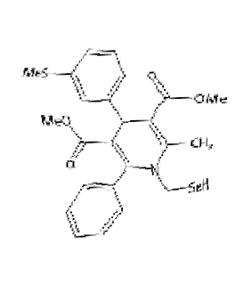 COC(=O)C1=C(C)N(C[SeH])C(c2ccccc2)=C(C(=O)OC)C1c1cccc(SC)c1